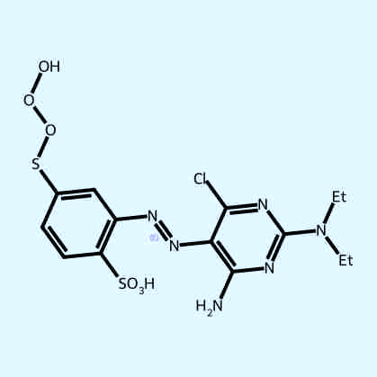 CCN(CC)c1nc(N)c(/N=N/c2cc(SOOO)ccc2S(=O)(=O)O)c(Cl)n1